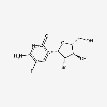 Nc1nc(=O)n([C@@H]2O[C@H](CO)[C@@H](O)[C@@H]2Br)cc1F